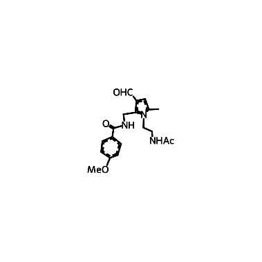 COc1ccc(C(=O)NCc2c(C=O)cc(C)n2CCNC(C)=O)cc1